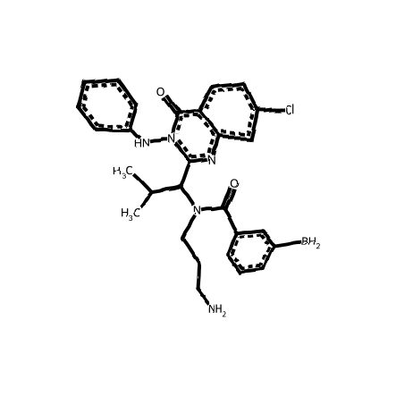 Bc1cccc(C(=O)N(CCCN)C(c2nc3cc(Cl)ccc3c(=O)n2Nc2ccccc2)C(C)C)c1